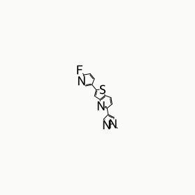 Cn1cc(-c2ccc3sc(-c4ccc(F)nc4)cc3n2)cn1